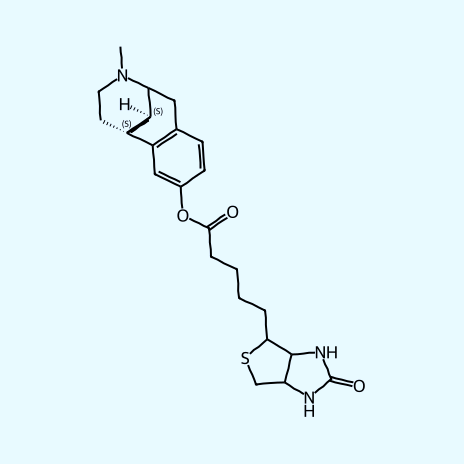 CN1CC[C@@]23CCCC[C@@H]2C1Cc1ccc(OC(=O)CCCCC2SCC4NC(=O)NC42)cc13